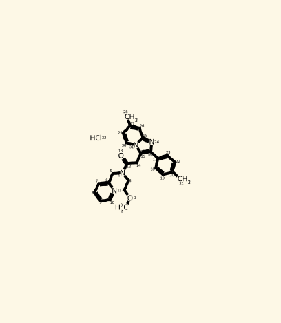 COCCN(Cc1ccccn1)C(=O)Cc1c(-c2ccc(C)cc2)nc2cc(C)ccn12.Cl